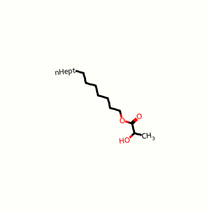 CCCCCCCCCCCCCCOC(=O)C(C)O